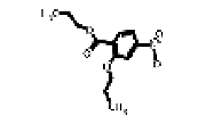 CCCOC(=O)c1ccc([N+](=O)[O-])cc1OCCC